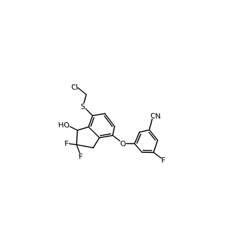 N#Cc1cc(F)cc(Oc2ccc(SCCl)c3c2CC(F)(F)C3O)c1